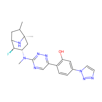 CC1CC2N[C@]1(C)C[C@H](N(C)c1ncc(-c3ccc(-n4ccnn4)cc3O)nn1)[C@H]2F